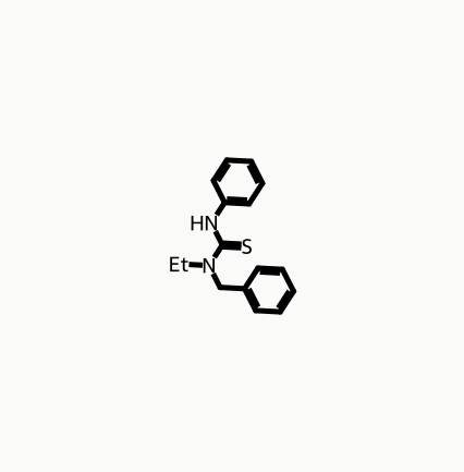 CCN(Cc1ccccc1)C(=S)Nc1ccccc1